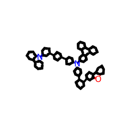 c1cc(-c2ccc(-c3ccc(N(c4ccc(-c5ccccc5-c5ccc6c(c5)oc5ccccc56)cc4)c4ccc5c6ccccc6c6ccccc6c5c4)cc3)cc2)cc(-n2c3ccccc3c3ccccc32)c1